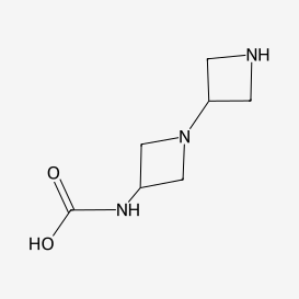 O=C(O)NC1CN(C2CNC2)C1